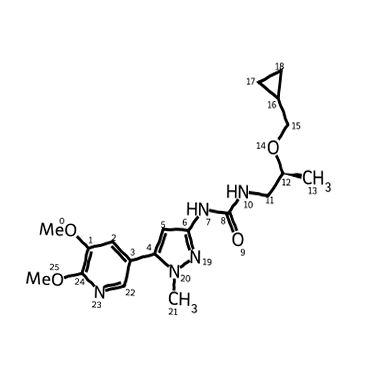 COc1cc(-c2cc(NC(=O)NC[C@H](C)OCC3CC3)nn2C)cnc1OC